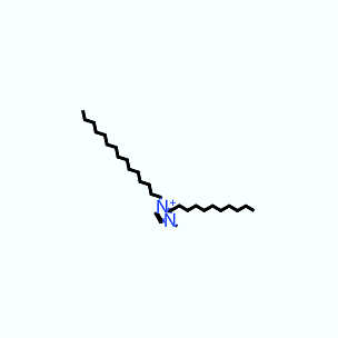 CCCCCCCCCCCCCCC[n+]1ccn(C)c1CCCCCCCCCC